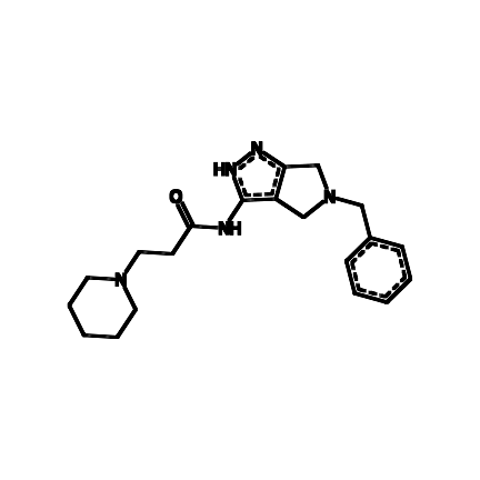 O=C(CCN1CCCCC1)Nc1[nH]nc2c1CN(Cc1ccccc1)C2